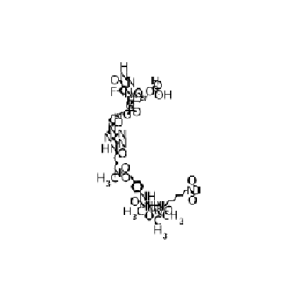 CC(C)[C@H](NC(=O)CCCCCN1C(=O)C=CC1=O)C(=O)N[C@@H](C)C(=O)Nc1ccc(COC(=O)N(C)CCCC(=O)Nc2ncnc3c2ncn3[C@H]2CC[C@@H](CO[PH](=O)OC3C[C@@H](CO[PH](=O)O)O[C@H]3n3cc(F)c4c(=O)[nH]cnc43)O2)cc1